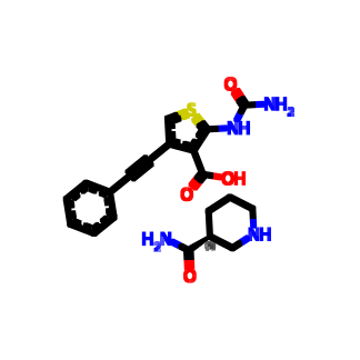 NC(=O)Nc1scc(C#Cc2ccccc2)c1C(=O)O.NC(=O)[C@H]1CCCNC1